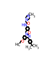 C#CCOc1ccc2c(c1)c(-c1ccc(C(C)C)cc1)nc(=O)n2Cc1cccc(NC(=O)CN2CCN(C)CC2)c1